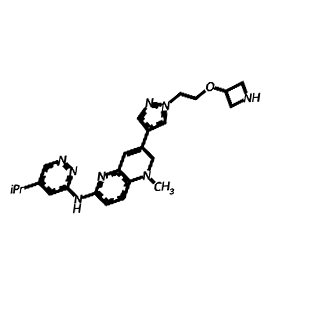 CC(C)c1cnnc(Nc2ccc3c(n2)C=C(c2cnn(CCOC4CNC4)c2)CN3C)c1